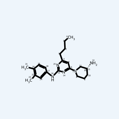 CCCCc1cc(N2CCC[C@@H](N)C2)nc(Nc2ccc(C)c(C)c2)n1